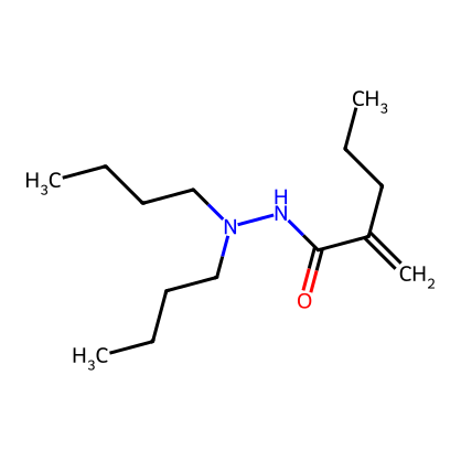 C=C(CCC)C(=O)NN(CCCC)CCCC